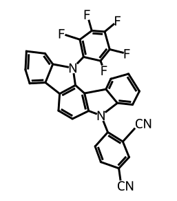 N#Cc1ccc(-n2c3ccccc3c3c2ccc2c4ccccc4n(-c4c(F)c(F)c(F)c(F)c4F)c23)c(C#N)c1